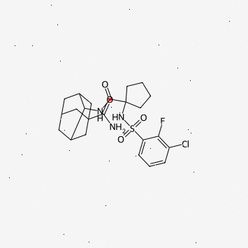 NC(=O)C12CC3CC(C1)C(NC(=O)C1(NS(=O)(=O)c4cccc(Cl)c4F)CCCC1)C(C3)C2